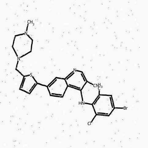 Cc1cc(Br)cc(Cl)c1Nc1c(C#N)cnc2cc(-c3ccc(CN4CCN(C)CC4)s3)ccc12